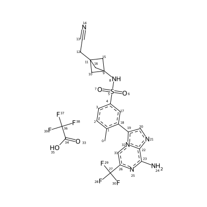 Cc1ccc(S(=O)(=O)NC23CC(CC#N)(C2)C3)cc1-c1cnc2c(N)nc(C(F)(F)F)cn12.O=C(O)C(F)(F)F